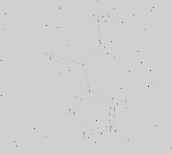 CN/N=C(\C#N)c1nnn[nH]1